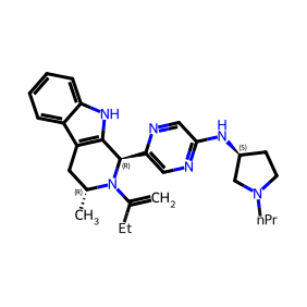 C=C(CC)N1[C@H](c2cnc(N[C@H]3CCN(CCC)C3)cn2)c2[nH]c3ccccc3c2C[C@H]1C